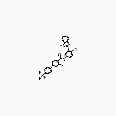 O=C(Nc1ccc(Cl)c(-c2nc3ccccc3[nH]2)c1)c1ccc(-c2ccc(C(F)(F)F)cc2)cc1F